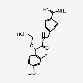 CCO[C@H](C(=O)NCc1ccc(C(=N)N)cc1)c1ccc(OC)cc1F.Cl